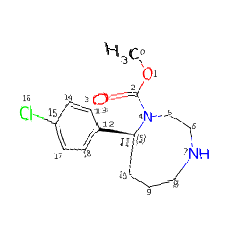 COC(=O)N1CCNCCC[C@H]1c1ccc(Cl)cc1